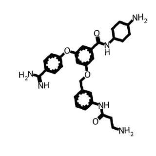 N=C(N)c1ccc(Oc2cc(OCc3cccc(NC(=O)CCN)c3)cc(C(=O)NC3CCC(N)CC3)c2)cc1